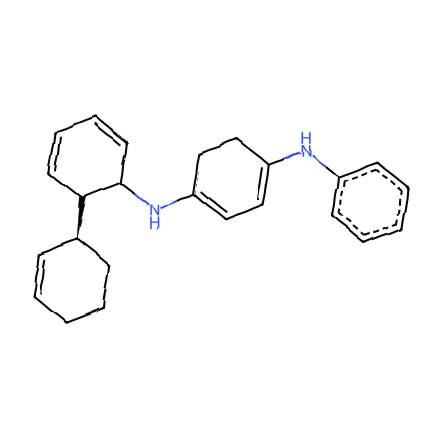 C1=CC(NC2=CC=C(Nc3ccccc3)CC2)C([C@@H]2C=CCCC2)C=C1